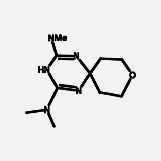 CNC1=NC2(CCOCC2)N=C(N(C)C)N1